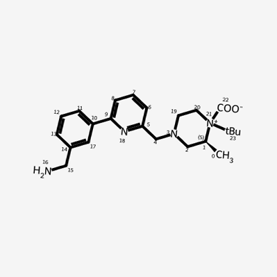 C[C@H]1CN(Cc2cccc(-c3cccc(CN)c3)n2)CC[N+]1(C(=O)[O-])C(C)(C)C